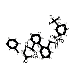 NC(=O)[C@H](Cc1ccccc1)NC(=O)c1ccccc1-c1ccccc1CNS(=O)(=O)c1cccc(C(F)(F)F)c1